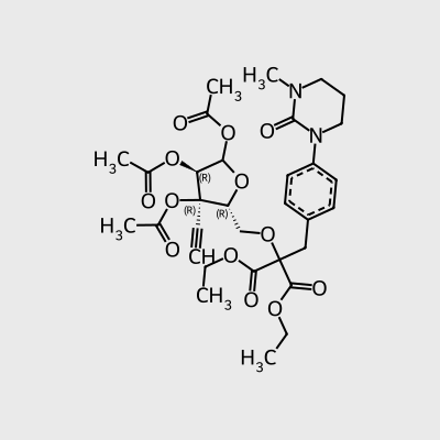 C#C[C@@]1(OC(C)=O)[C@@H](COC(Cc2ccc(N3CCCN(C)C3=O)cc2)(C(=O)OCC)C(=O)OCC)OC(OC(C)=O)[C@@H]1OC(C)=O